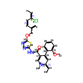 C=C(/C=C\C(Cl)=C/C)COc1nnc(NC(=O)C2=CN(C)/C(=C\C)C=C2c2ccccc2OC)s1